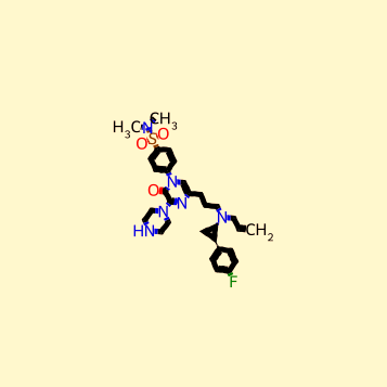 C=CCN(CCCc1cn(-c2ccc(S(=O)(=O)N(C)C)cc2)c(=O)c(N2CCNCC2)n1)[C@@H]1C[C@H]1c1ccc(F)cc1